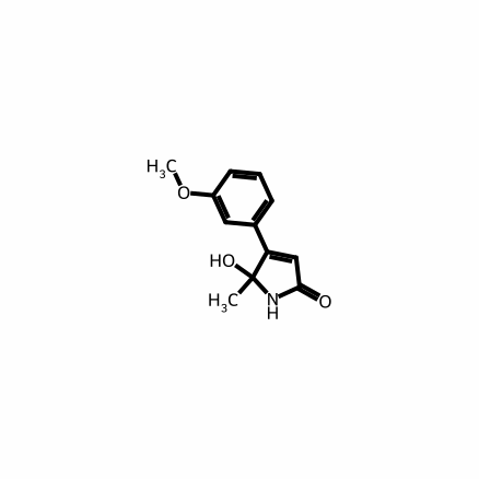 COc1cccc(C2=CC(=O)NC2(C)O)c1